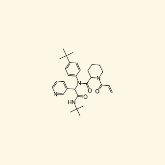 C=CC(=O)N1CCCCC1C(=O)N(c1ccc(C(C)(C)C)cc1)C(C(=O)NC(C)(C)C)c1cccnc1